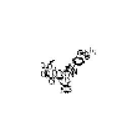 CCOC(=O)[C@H]1O[C@@H]1C(=O)N[C@@H](Cc1cscn1)C(=O)N(C)c1cn(-c2ccc(S(N)(=O)=O)cc2)nn1